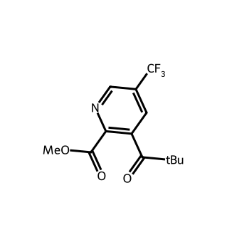 COC(=O)c1ncc(C(F)(F)F)cc1C(=O)C(C)(C)C